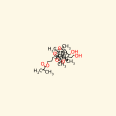 C=C(C)C(=O)OCCC[Si](C)(O[Si](C)(C)O[Si](C)(C)CCCO)O[Si](C)(C)O[Si](C)(C)CCCO